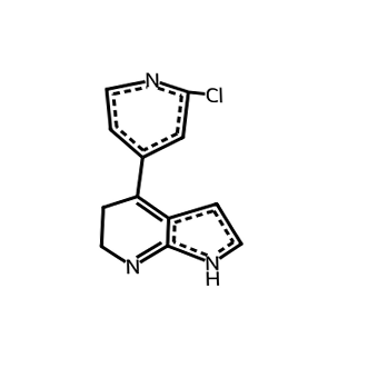 Clc1cc(C2=c3cc[nH]c3=NCC2)ccn1